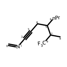 C=NC#CCC(CCC)C(C)C(F)(F)F